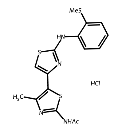 CSc1ccccc1Nc1nc(-c2sc(NC(C)=O)nc2C)cs1.Cl